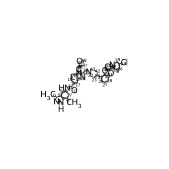 Cc1n[nH]c2c(C)cc(NC(=O)c3ccc4c(c3)nc(CN3CC=C(c5cccc6c5O[C@@](C)(c5ccc(Cl)cn5)O6)CC3)n4C[C@@H]3CCO3)cc12